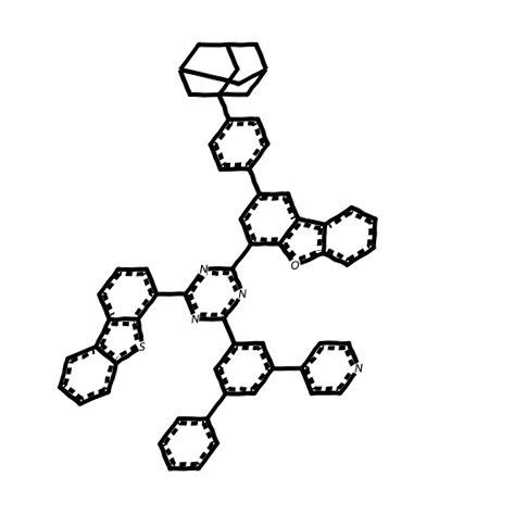 c1ccc(-c2cc(-c3ccncc3)cc(-c3nc(-c4cc(-c5ccc(C67CC8CC(CC(C8)C6)C7)cc5)cc5c4oc4ccccc45)nc(-c4cccc5c4sc4ccccc45)n3)c2)cc1